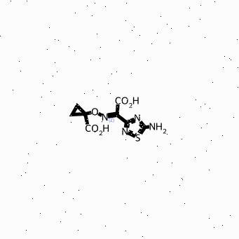 Nc1nc(/C(=N/OC2(C(=O)O)CC2)C(=O)O)ns1